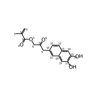 C=C(C)C(=O)OCC(=O)Cc1ccc2cc(O)c(O)cc2c1